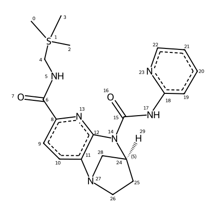 CS(C)(C)CNC(=O)c1ccc2c(n1)N(C(=O)Nc1ccccn1)[C@H]1CCN2C1